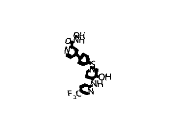 O=C(NO)c1cc(-c2ccc(SN3CCC(Nc4ccc(C(F)(F)F)cn4)C(O)C3)cc2)ccn1